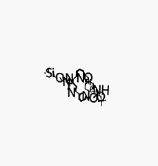 CC(C)(C)OC(=O)N[C@H]1CCC[C@@H](Oc2cccc(-c3nn(COCC[Si](C)(C)C)c4cnc(-c5cccnc5)cc34)n2)C1